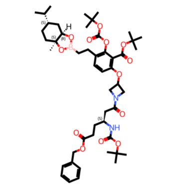 CC(C)[C@H]1CC[C@]2(C)OB(CCc3ccc(OC4CN(C(=O)C[C@H](CCC(=O)OCc5ccccc5)NC(=O)OC(C)(C)C)C4)c(C(=O)OC(C)(C)C)c3OC(=O)OC(C)(C)C)O[C@@H]2C1